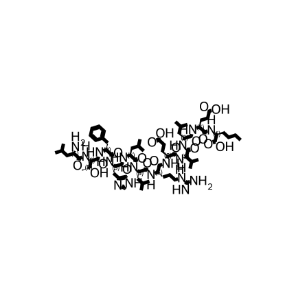 CCCC[C@H](NC(=O)[C@H](CCC(=O)O)NC(=O)[C@H](CC(C)C)NC(=O)[C@@H](NC(=O)[C@H](CCC(=O)O)NC(=O)[C@H](CCCNC(=N)N)NC(=O)[C@H](CC(C)C)NC(=O)[C@H](CC(C)C)NC(=O)[C@H](Cc1c[nH]cn1)NC(=O)[C@@H](Cc1ccccc1)NC(=O)[C@@H](NC(=O)[C@@H](N)CC(C)C)[C@@H](C)O)C(C)C)C(=O)O